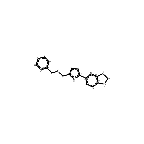 c1ccc(COCc2ccc(-c3ccc4c(c3)OCO4)o2)nc1